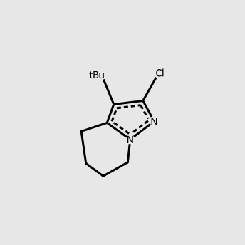 CC(C)(C)c1c(Cl)nn2c1CCCC2